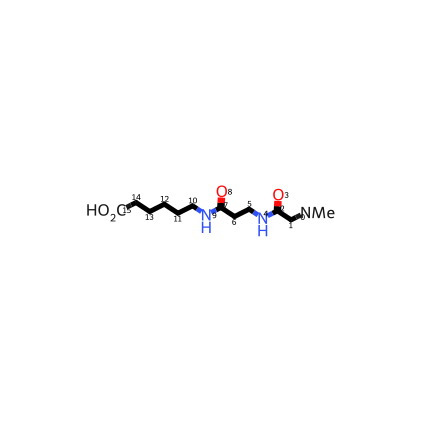 CNCC(=O)NCCC(=O)NCCCCCC(=O)O